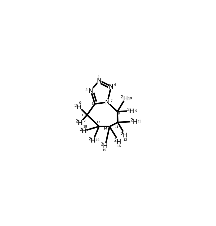 [2H]C1([2H])c2nnnn2C([2H])([2H])C([2H])([2H])C([2H])([2H])C1([2H])[2H]